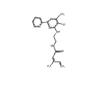 C=C/C(=C\C(=N)NCCNc1nc(-c2ccccn2)nc(C)c1Cl)C(F)(F)F